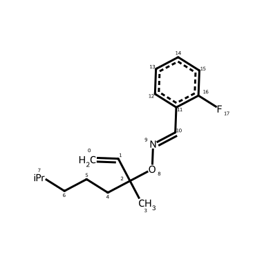 C=CC(C)(CCCC(C)C)ON=Cc1ccccc1F